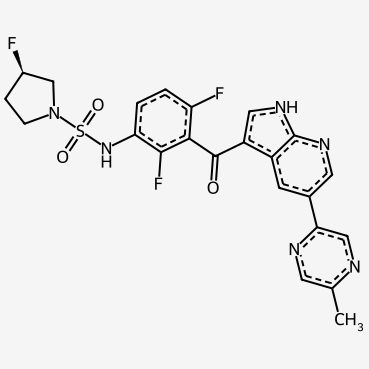 Cc1cnc(-c2cnc3[nH]cc(C(=O)c4c(F)ccc(NS(=O)(=O)N5CC[C@@H](F)C5)c4F)c3c2)cn1